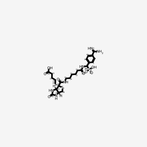 N=C(N)c1ccc(C(NC(=O)CCCCCNC(=O)[C@@]2(CCCCC(=O)O)SC[C@@H]3NC(=O)N[C@@H]32)P(=O)(O)O)cc1